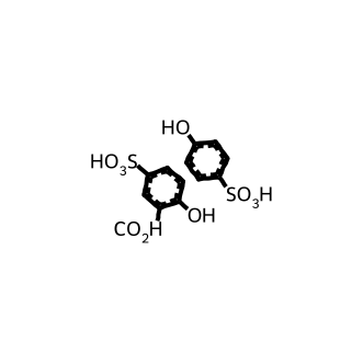 O=C(O)c1cc(S(=O)(=O)O)ccc1O.O=S(=O)(O)c1ccc(O)cc1